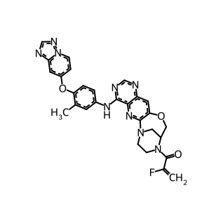 C=C(F)C(=O)N1CCN2CC1COc1cc3ncnc(Nc4ccc(Oc5ccn6ncnc6c5)c(C)c4)c3nc12